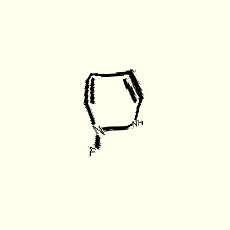 FN1C=C[C]=CN1